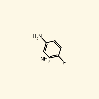 N.Nc1ccc(F)cc1